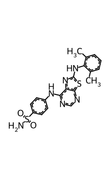 Cc1cccc(C)c1Nc1nc2c(Nc3ccc(S(N)(=O)=O)cc3)ncnc2s1